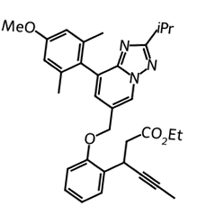 CC#CC(CC(=O)OCC)c1ccccc1OCc1cc(-c2c(C)cc(OC)cc2C)c2nc(C(C)C)nn2c1